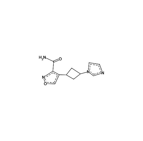 NC(=O)c1nocc1C1CC(n2ccnc2)C1